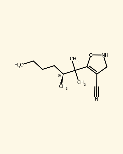 CCCC[C@H](C)C(C)(C)C1=C(C#N)CNO1